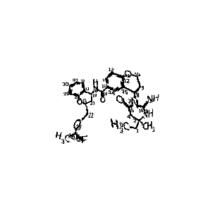 CC[C@]1(C)CC(=O)N([C@@H]2CCOc3ccc(C(=O)N[C@H]4C[C@@H](COC(C)F)Oc5ccccc54)cc32)C(=N)N1